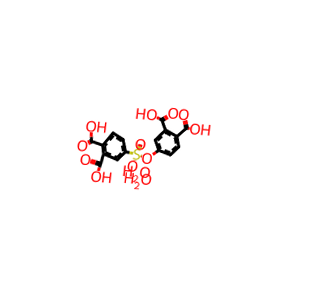 O.O.O=C(O)c1ccc(OS(=O)(=O)c2ccc(C(=O)O)c(C(=O)O)c2)cc1C(=O)O